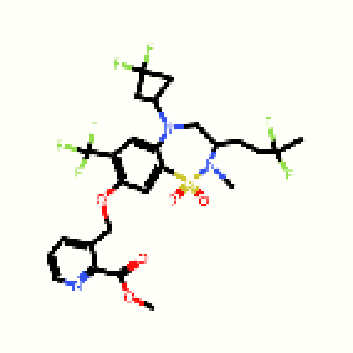 COC(=O)c1ncccc1COc1cc2c(cc1C(F)(F)F)N(C1CC(F)(F)C1)CC(CCC(C)(F)F)N(C)S2(=O)=O